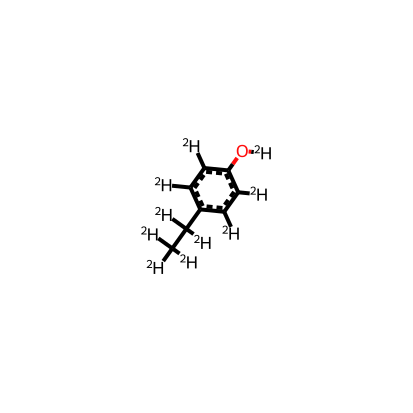 [2H]Oc1c([2H])c([2H])c(C([2H])([2H])C([2H])([2H])[2H])c([2H])c1[2H]